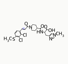 CSc1ccc(/C=C/C(=O)N2CCC(C(=O)NC(Cc3cn(C)cn3)C(=O)O)CC2)c(Cl)c1Cl